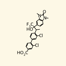 CC(c1ccc(-c2ccc(C(=O)O)cc2Cl)cc1Cl)C(O)(c1ccc2c(c1)n(C)c(=O)n2C)C(F)(F)F